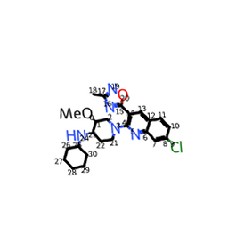 CO[C@H]1CN(c2nc3cc(Cl)ccc3cc2-c2nc(C)no2)CC[C@H]1NC1CCCCC1